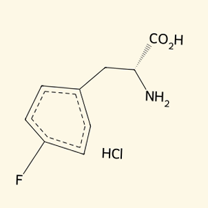 Cl.N[C@H](Cc1ccc(F)cc1)C(=O)O